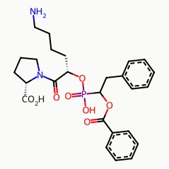 NCCCC[C@H](OP(=O)(O)C(Cc1ccccc1)OC(=O)c1ccccc1)C(=O)N1CCC[C@H]1C(=O)O